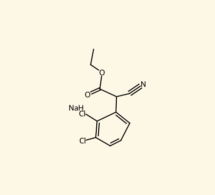 CCOC(=O)C(C#N)c1cccc(Cl)c1Cl.[NaH]